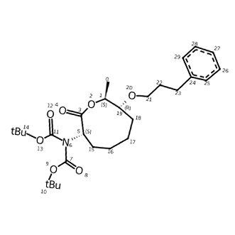 C[C@@H]1OC(=O)[C@@H](N(C(=O)OC(C)(C)C)C(=O)OC(C)(C)C)CCCC[C@H]1OCCCc1ccccc1